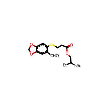 CCCCC(CC)COC(=O)CCSc1cc2c(cc1C=O)OCO2